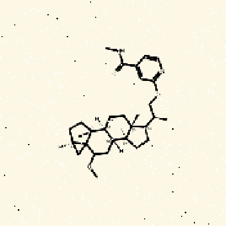 CNC(=O)c1ccnc(OC[C@@H](C)[C@H]2CC[C@H]3[C@@H]4CC(OC)C56C[C@H]5CC[C@]6(C)[C@H]4CC[C@]23C)c1